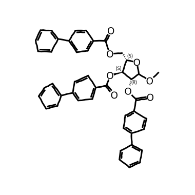 COC1O[C@@H](COC(=O)c2ccc(-c3ccccc3)cc2)[C@H](OC(=O)c2ccc(-c3ccccc3)cc2)[C@H]1OC(=O)c1ccc(-c2ccccc2)cc1